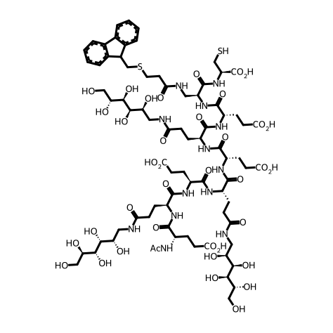 CC(=O)N[C@@H](CCC(=O)O)C(=O)N[C@@H](CCC(=O)NC[C@H](O)[C@@H](O)[C@H](O)[C@H](O)CO)C(=O)N[C@@H](CCC(=O)O)C(=O)N[C@@H](CCC(=O)NC[C@H](O)[C@@H](O)[C@H](O)[C@H](O)CO)C(=O)N[C@@H](CCC(=O)O)C(=O)N[C@@H](CCC(=O)NC[C@H](O)[C@@H](O)[C@H](O)[C@H](O)CO)C(=O)N[C@@H](CCC(=O)O)C(=O)N[C@@H](CNC(=O)CCSCC1c2ccccc2-c2ccccc21)C(=O)N[C@@H](CS)C(=O)O